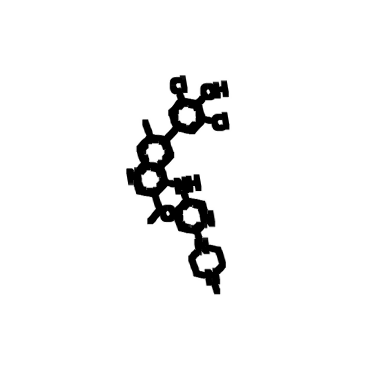 CC(=O)c1cnc2cc(C)c(-c3cc(Cl)c(O)c(Cl)c3)cc2c1Nc1ccc(N2CCN(C)CC2)nc1